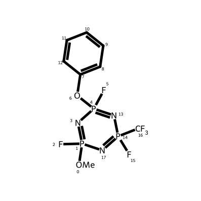 COP1(F)=NP(F)(Oc2ccccc2)=NP(F)(C(F)(F)F)=N1